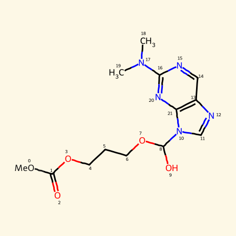 COC(=O)OCCCOC(O)n1cnc2cnc(N(C)C)nc21